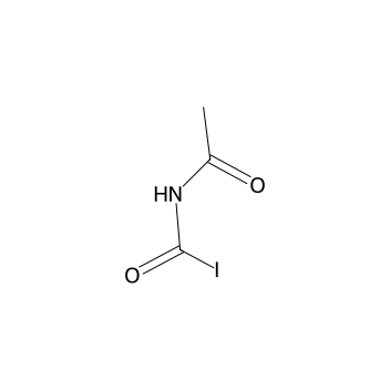 CC(=O)NC(=O)I